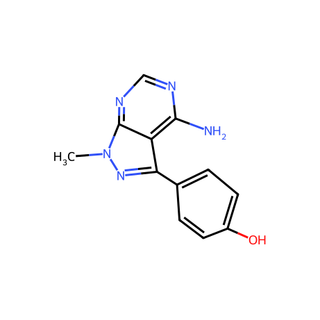 Cn1nc(-c2ccc(O)cc2)c2c(N)ncnc21